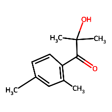 Cc1ccc(C(=O)C(C)(C)O)c(C)c1